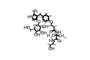 CC(C)c1[nH]nc(O[C@@H]2O[C@H](CO)[C@@H](O)[C@H](O)[C@H]2O)c1Cc1ccc(OCCC(=O)NC(C)(C)C(=O)NCCO)cc1